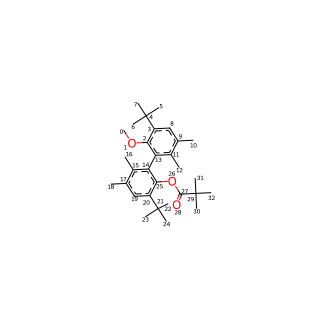 COc1c(C(C)(C)C)cc(C)c(C)c1-c1c(C)c(C)cc(C(C)(C)C)c1OC(=O)C(C)(C)C